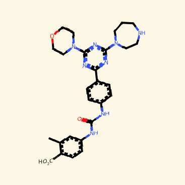 Cc1cc(NC(=O)Nc2ccc(-c3nc(N4CCCNCC4)nc(N4CCOCC4)n3)cc2)ccc1C(=O)O